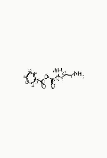 NCCC[C@@H](N)C(=O)OC(=O)c1ccccc1